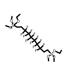 CCO[Si](CCC(F)(F)C(F)(F)C(F)(F)C(F)(F)C(F)(F)C(F)(F)CC[Si](OC)(OC)OCC)(OC)OC